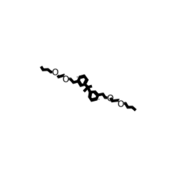 CCCCOCCOCCc1[c]ccc(C(C)(C)c2cc[c]c(CCOCCOCCCC)c2)c1